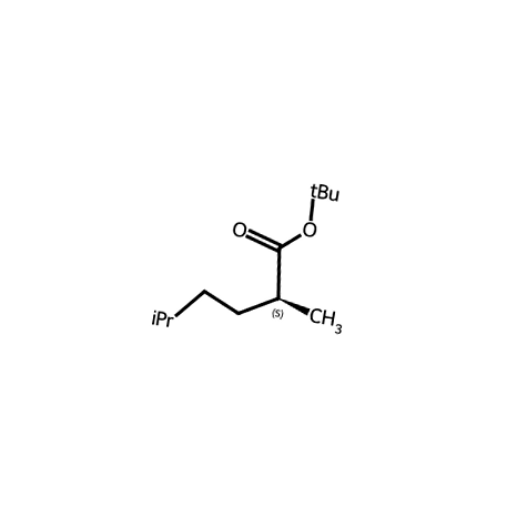 CC(C)CC[C@H](C)C(=O)OC(C)(C)C